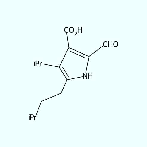 CC(C)CCc1[nH]c(C=O)c(C(=O)O)c1C(C)C